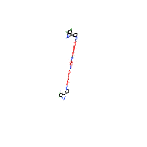 CN1Cc2c(Cl)cc(Cl)cc2C(c2cccc(NCCOCCOCCOCCNC(=O)C(O)C(O)C(=O)NCCOCCOCCOCCNc3cccc(C4CN(C)Cc5c(Cl)cc(Cl)cc54)c3)c2)C1